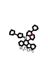 CC1(C)c2ccccc2-c2c(-c3ccccc3)c(N(c3ccc(-c4ccccc4)cc3)c3ccc(-c4ccccc4)cc3)c3ccccc3c21